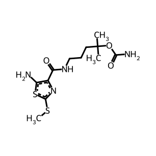 CSc1nc(C(=O)NCCCC(C)(C)OC(N)=O)c(N)s1